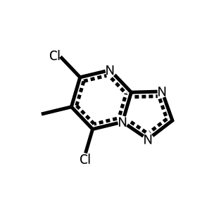 Cc1c(Cl)nc2ncnn2c1Cl